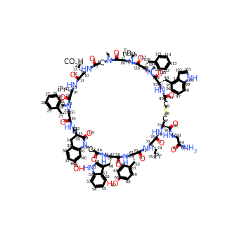 CCCC[C@H]1C(=O)N(C)CC(=O)N[C@@H](CC(=O)O)C(=O)N[C@@H](C(C)C)C(=O)N(C)[C@@H](Cc2ccccc2)C(=O)N[C@H]2Cc3ccc(O)cc3N(CC(=O)N[C@@H](Cc3c[nH]c4ccccc34)C(=O)N[C@@H](Cc3ccc(O)cc3)C(=O)N[C@@H](CC(C)C)C(=O)N[C@H](C(=O)NCC(N)=O)CSCC(=O)N[C@@H](Cc3cccc4[nH]ccc34)C(=O)N(C)[C@@H](Cc3ccccc3)C(=O)N1C)C2=O